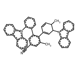 Cc1cc(C#N)cc(-c2ccccc2-n2c3ccccc3c3ccccc32)c1C1=CC(n2c3ccccc3c3ccccc32)C(C)C=C1